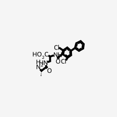 C[C@H](N)C(=O)NCC(NC(=O)c1c(Cl)cc(-c2ccccc2)cc1Cl)C(=O)O